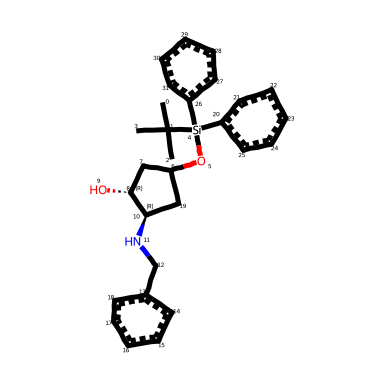 CC(C)(C)[Si](OC1C[C@@H](O)[C@H](NCc2ccccc2)C1)(c1ccccc1)c1ccccc1